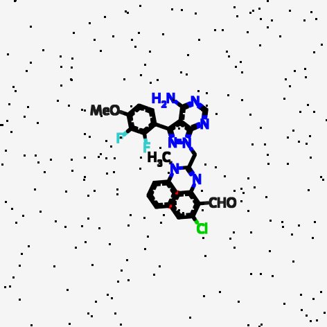 COc1ccc(-c2nn(C/C(=N/c3cccc(Cl)c3C=O)N(C)c3ccccc3)c3ncnc(N)c23)c(F)c1F